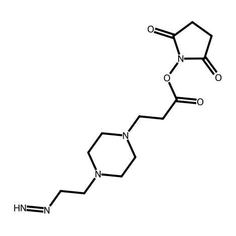 N=NCCN1CCN(CCC(=O)ON2C(=O)CCC2=O)CC1